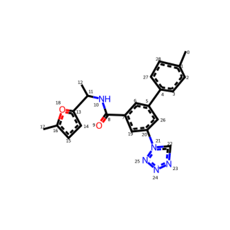 Cc1ccc(-c2cc(C(=O)NC(C)c3ccc(C)o3)cc(-n3cnnn3)c2)cc1